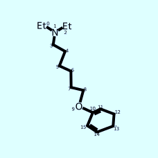 CCN(CC)CCCCCCOC1=CC[CH]C=C1